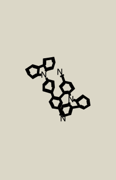 N#Cc1ccc(-c2ccc(-n3c4ccccc4c4ccccc43)cc2)c(-c2cc(C#N)ccc2-n2c3ccccc3c3ccccc32)c1